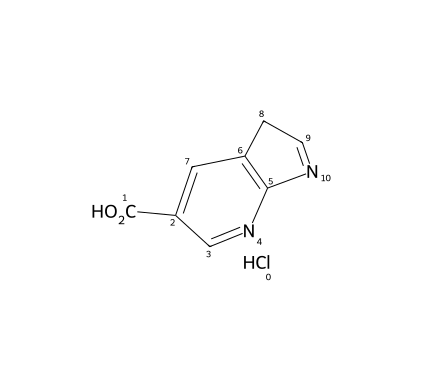 Cl.O=C(O)c1cnc2c(c1)CC=N2